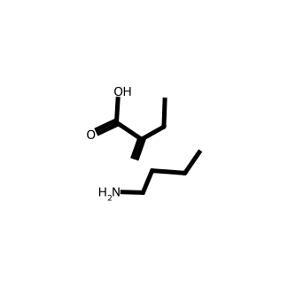 C=C(CC)C(=O)O.CCCCN